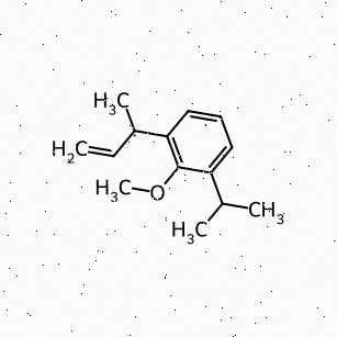 C=C[C](C)c1cccc(C(C)C)c1OC